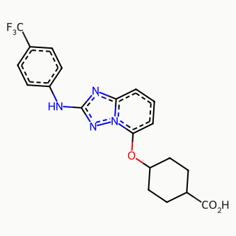 O=C(O)C1CCC(Oc2cccc3nc(Nc4ccc(C(F)(F)F)cc4)nn23)CC1